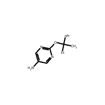 CCCC(C)(CC)Oc1ncc(N)cn1